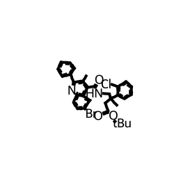 Cc1c(-c2ccccc2)nc2ccc(Br)cc2c1C(=O)NCC(C)(CC(=O)OC(C)(C)C)c1ccccc1Cl